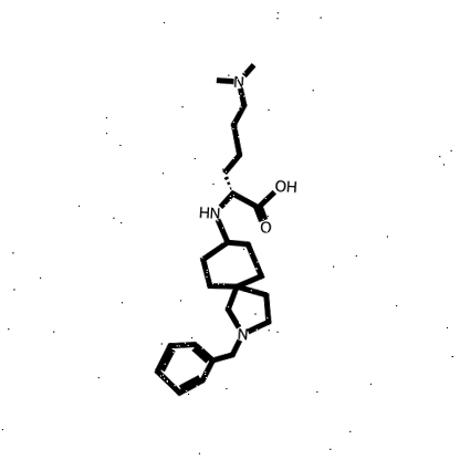 CN(C)CCCC[C@@H](NC1CCC2(CC1)CCN(Cc1ccccc1)C2)C(=O)O